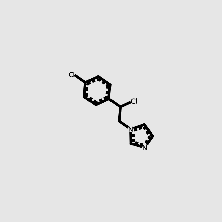 Clc1ccc(C(Cl)Cn2ccnc2)cc1